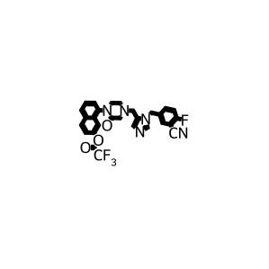 N#Cc1cc(Cn2cncc2CN2CCN(c3cccc4ccc(OC(=O)C(F)(F)F)cc34)C(=O)C2)ccc1F